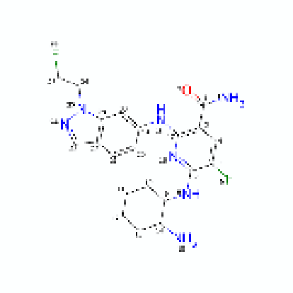 NC(=O)c1cc(F)c(NC2CCCCC2N)nc1Nc1ccc2cnn(CCF)c2c1